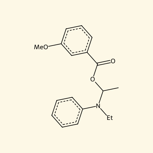 CCN(c1ccccc1)C(C)OC(=O)c1cccc(OC)c1